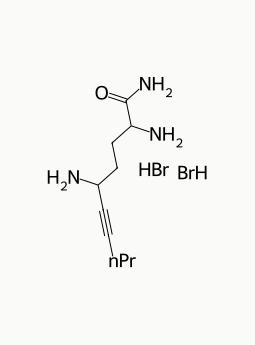 Br.Br.CCCC#CC(N)CCC(N)C(N)=O